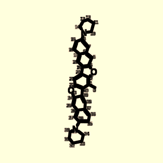 Cc1c2oc3cc4cc(N5CCCCC5)ccc4cc3c2cc2oc3cc4cc(N5CCCCC5)ccc4cc3c12